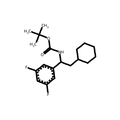 CC(C)(C)OC(=O)NC(CC1CCCCC1)c1cc(F)cc(F)c1